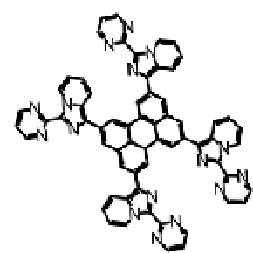 C1=C(c2nc(-c3ncccn3)n3ccccc23)C=C2c3cc(-c4nc(-c5ncccn5)n5ccccc45)cc4cc(-c5nc(-c6ncccn6)n6ccccc56)cc(c34)C3C=C(c4nc(-c5ncccn5)n5ccccc45)C=C1C23